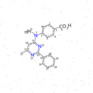 CCCN(c1ccc(C(=O)O)cc1)c1cc(C)nc(-c2ccccc2)n1